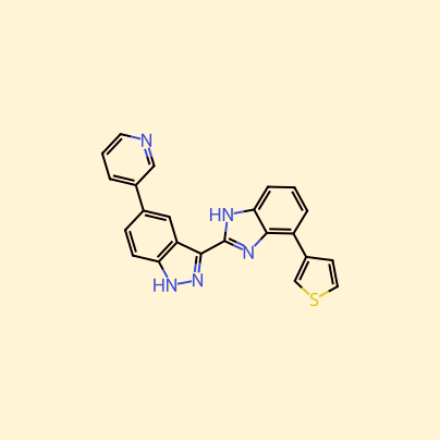 c1cncc(-c2ccc3[nH]nc(-c4nc5c(-c6ccsc6)cccc5[nH]4)c3c2)c1